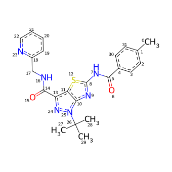 Cc1ccc(C(=O)Nc2nc3c(s2)c(C(=O)NCc2ccccn2)nn3C(C)(C)C)cc1